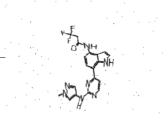 Cn1cc(Nc2nccc(-c3ccc(NC(=O)CC(F)(F)F)c4cc[nH]c34)n2)cn1